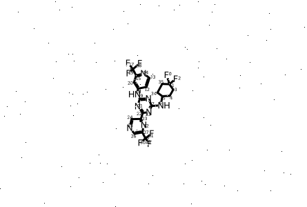 FC1(F)CCC(Nc2nc(Nc3ccnc(C(F)(F)F)c3)nc(-c3cncc(C(F)(F)F)n3)n2)CC1